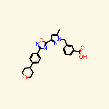 Cc1cc(-c2nc(-c3ccc(C4CCOCC4)cc3)no2)nn1Cc1cccc(C(=O)O)c1